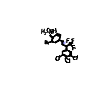 CNCc1ccc(/C=C/C(c2cc(Cl)c(Cl)c(Cl)c2)C(F)(F)F)cc1Br